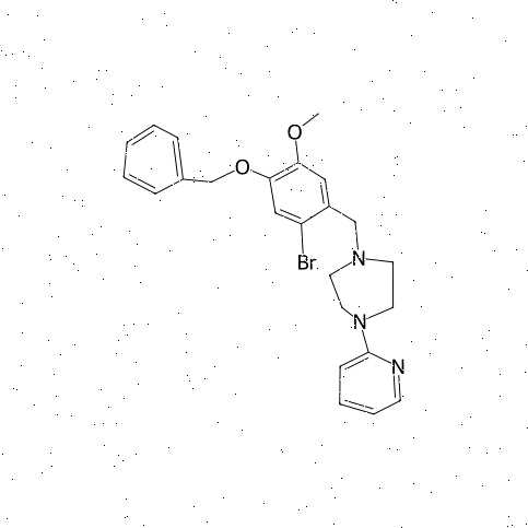 COc1cc(CN2CCN(c3ccccn3)CC2)c(Br)cc1OCc1ccccc1